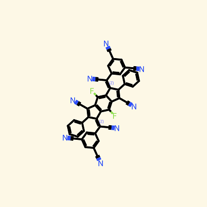 N#CC1=C(c2ccccc2)/C(=C(/C#N)c2cc(C#N)cc(C#N)c2)c2c(F)c3c(c(F)c21)/C(=C(\C#N)c1cc(C#N)cc(C#N)c1)C(c1ccccc1)=C3C#N